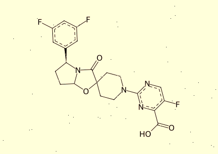 O=C(O)c1nc(N2CCC3(CC2)OC2CC[C@@H](c4cc(F)cc(F)c4)N2C3=O)ncc1F